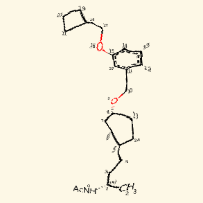 CC(=O)N[C@@H](C)CC[C@H]1CC[C@H](OCc2cccc(OCC3CCC3)c2)CC1